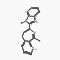 CC1=NC(c2nc3ccccc3n2C)=CCc2cccnc21